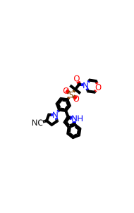 CC(C)(C(=O)N1CCOCC1)S(=O)(=O)c1ccc(N2CCC(C#N)C2)c(-c2cc3ccccc3[nH]2)c1